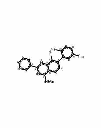 CNc1nc(-c2cccnc2)nc2c(F)c(-c3cc(F)ccc3F)ccc12